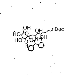 CCCCCCCCCCCCCC[C@@H](O)[C@@H](O)[C@H](COC1OC(CO)C(O)C(O)C1O)NC(=O)C(c1ccccc1)c1ccccc1